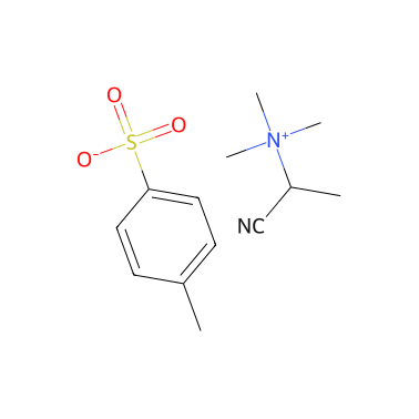 CC(C#N)[N+](C)(C)C.Cc1ccc(S(=O)(=O)[O-])cc1